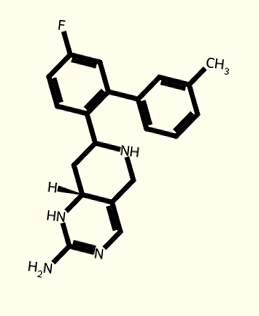 Cc1cccc(-c2cc(F)ccc2C2C[C@H]3NC(N)=NC=C3CN2)c1